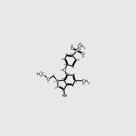 COCn1nc(Br)c2cc(C)cc(Oc3ccc(S(C)(=O)=O)cc3)c21